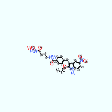 COc1cc(C(=O)NCCCC(=O)NO)ccc1Cc1c[nH]c2ccc([N+](=O)[O-])cc12